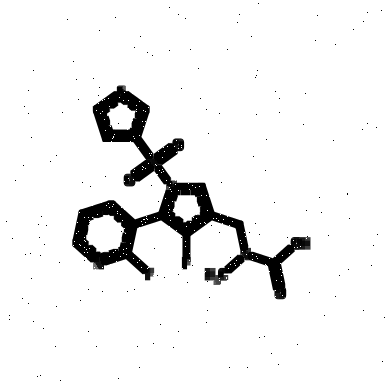 CN(Cc1cn(S(=O)(=O)c2ccsc2)c(-c2cccnc2F)c1F)C(=O)O